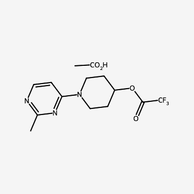 CC(=O)O.Cc1nccc(N2CCC(OC(=O)C(F)(F)F)CC2)n1